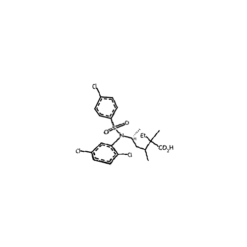 CCC(C)(C(=O)O)C(C)C[C@@H](C)N(c1cc(Cl)ccc1Cl)S(=O)(=O)c1ccc(Cl)cc1